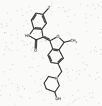 CC1O/C(=C2/C(=O)Nc3ccc(F)cc32)c2ccc(CN3CCCC(O)C3)cc21